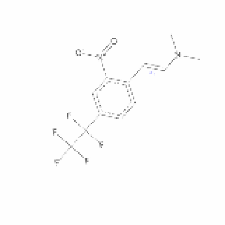 CN(C)/C=C/c1ccc(C(F)(F)C(F)(F)F)cc1[N+](=O)[O-]